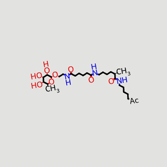 CC(=O)CCCCCNC(=O)[C@@H](C)CCCCNC(=O)CCCCC(=O)NCCO[C@@H]1O[C@@H](C)[C@@H](O)[C@@H](O)[C@@H]1O